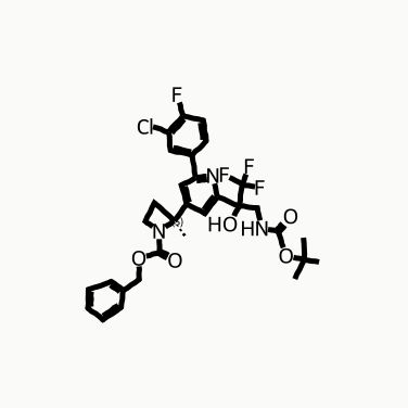 CC(C)(C)OC(=O)NCC(O)(c1cc([C@]2(C)CCN2C(=O)OCc2ccccc2)cc(-c2ccc(F)c(Cl)c2)n1)C(F)(F)F